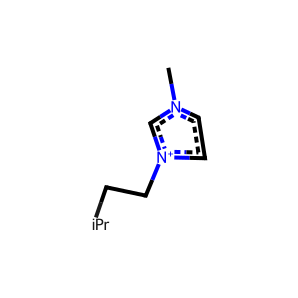 CC(C)CC[n+]1ccn(C)c1